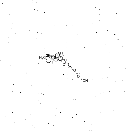 Cc1cc(OC(=O)CSCCOCCOCCO)cc2c1[C@@]1(C)CC[C@H]3C(C)(C)CCC[C@]3(C)[C@@H]1C2